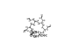 C=CCC(CCCCCCCCCCCC)CCC(CC=C)CCC(CC=C)CCC(CC=C)COP(=O)(O)O